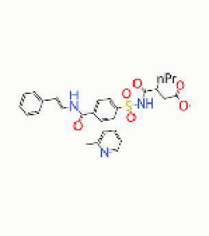 CCCC(CC([O])=O)C(=O)NS(=O)(=O)c1ccc(C(=O)NC=Cc2ccccc2)cc1.Cc1ccccn1